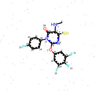 CNc1c(S)nc(Oc2cc(F)c(F)c(F)c2)n(-c2ccc(F)cc2)c1=O